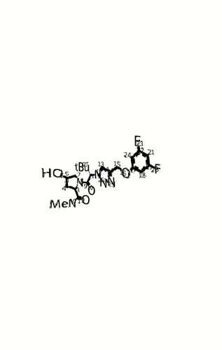 CNC(=O)C1CC(O)CN1C(=O)[C@@H](n1cc(COc2cc(F)cc(F)c2)nn1)C(C)(C)C